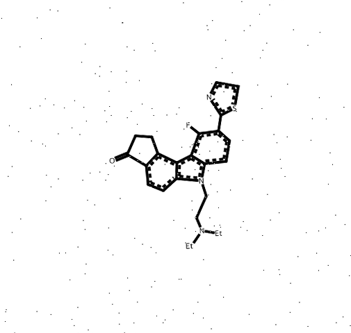 CCN(CC)CCn1c2ccc(-c3nccs3)c(F)c2c2c3c(ccc21)C(=O)CC3